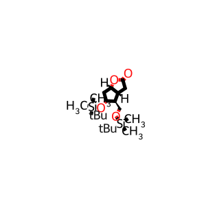 CC(C)(C)[Si](C)(C)OC[C@H]1C(O[Si](C)(C)C(C)(C)C)C[C@@H]2OC(=O)C[C@@H]21